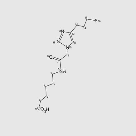 O=C(O)CCCCCNC(=O)Cn1cc(CCCF)nn1